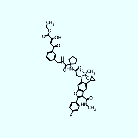 CCOC(=O)/C(O)=C/C(=O)c1cccc(CNC(=O)C2(NC(=O)CN(c3cc4oc(-c5ccc(F)cc5)c(C(=O)NC)c4cc3C3CC3)S(C)(=O)=O)CCCC2)c1